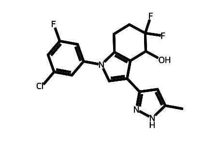 Cc1cc(-c2cn(-c3cc(F)cc(Cl)c3)c3c2C(O)C(F)(F)CC3)n[nH]1